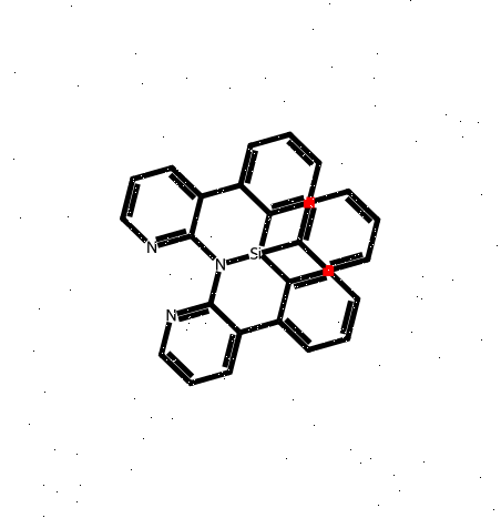 c1ccc([Si]23c4ccccc4-c4cccnc4N2c2ncccc2-c2ccccc23)cc1